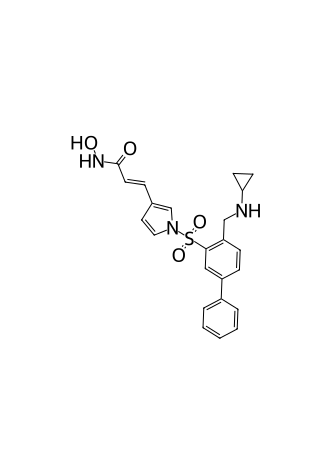 O=C(/C=C/c1ccn(S(=O)(=O)c2cc(-c3ccccc3)ccc2CNC2CC2)c1)NO